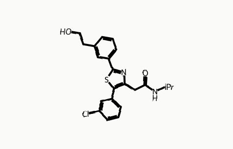 CC(C)NC(=O)Cc1nc(-c2cccc(CCO)c2)sc1-c1cccc(Cl)c1